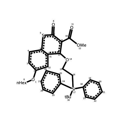 CCCCCCOc1ccc2sc(=O)c(C(=O)OC)c(OCC[Si](c3ccccc3)(c3ccccc3)C(C)(C)C)c2c1